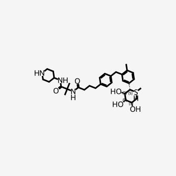 Cc1ccc([C@H]2[C@H](O)[C@H](O)[C@H](O)C[SH]2C)cc1Cc1ccc(CCCC(=O)NC(C)(C)C(=O)NC2CCNCC2)cc1